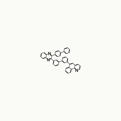 c1ccc(-c2ccc(-c3nc4ccccc4nc3-c3cccc(-c4cccc(-c5cc6cccnc6c6ccccc56)c4)c3)cc2)cc1